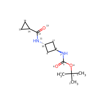 CC(C)(C)OC(=O)N[C@H]1C[C@H](NC(=O)C2CC2)C1